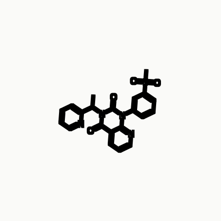 CC(c1ccccn1)n1c(=O)c2cccnc2n(-c2cccc(S(C)(=O)=O)c2)c1=O